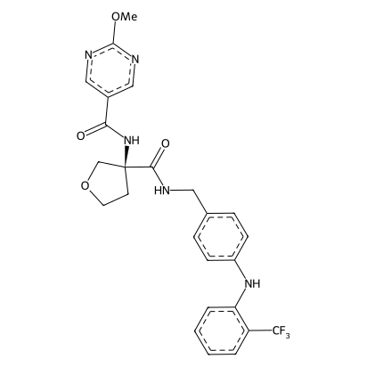 COc1ncc(C(=O)N[C@@]2(C(=O)NCc3ccc(Nc4ccccc4C(F)(F)F)cc3)CCOC2)cn1